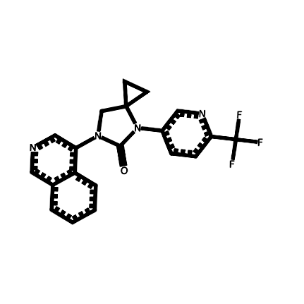 O=C1N(c2cncc3ccccc23)CC2(CC2)N1c1ccc(C(F)(F)F)nc1